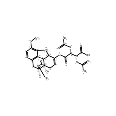 C=C(C)O[C@@H](C(=O)O)[C@@H](OC(C)=O)C(=O)OC1=CC[C@@]2(O)[C@H]3Cc4ccc(OC)c5c4[C@@]2(CCN3C)[C@H]1O5